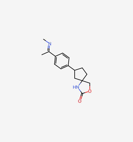 C/N=C(\C)c1ccc(C2CCC3(COC(=O)N3)C2)cc1